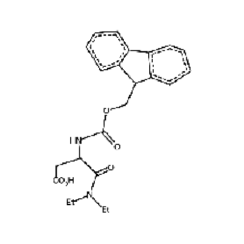 CCN(CC)C(=O)C(CC(=O)O)NC(=O)OCC1c2ccccc2-c2ccccc21